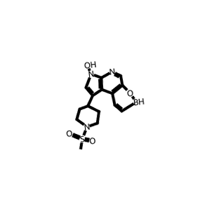 CS(=O)(=O)N1CCC(c2cn(O)c3ncc4c(c23)C=CBO4)CC1